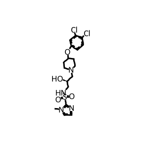 Cn1ccnc1S(=O)(=O)NC[C@@H](O)CN1CCC(Oc2ccc(Cl)c(Cl)c2)CC1